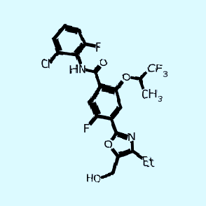 CCc1nc(-c2cc(OC(C)C(F)(F)F)c(C(=O)Nc3c(F)cccc3Cl)cc2F)oc1CO